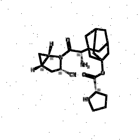 N#C[C@@H]1C[C@@H]2C[C@@H]2N1C(=O)[C@@H](N)C12CC3CC(CC(OC(=O)[C@@H]4CCCN4)(C3)C1)C2